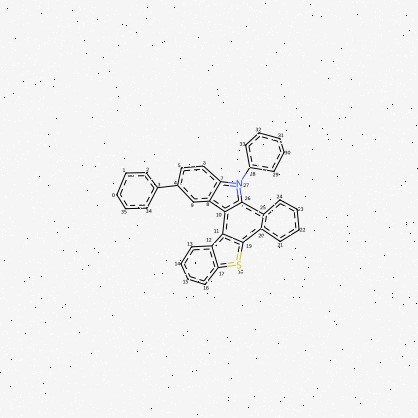 c1ccc(-c2ccc3c(c2)c2c4c5ccccc5sc4c4ccccc4c2n3-c2ccccc2)cc1